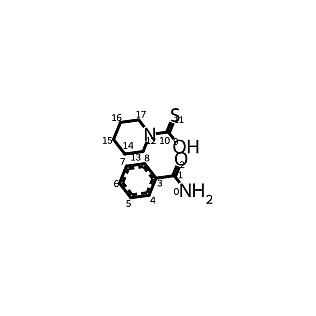 NC(=O)c1ccccc1.OC(=S)N1CCCCC1